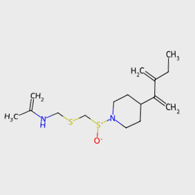 C=C(C)NCSC[S+]([O-])N1CCC(C(=C)C(=C)CC)CC1